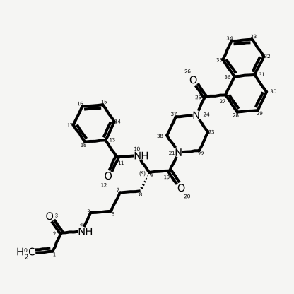 C=CC(=O)NCCCC[C@H](NC(=O)c1ccccc1)C(=O)N1CCN(C(=O)c2cccc3ccccc23)CC1